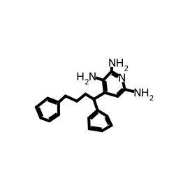 Nc1cc(C(CCCc2ccccc2)c2ccccc2)c(N)c(N)n1